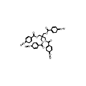 [N-]=[N+]=C1C=CC(C(=O)OCC(COC(=O)C2=CCC(=[N+]=[N-])C=C2)(COC(=O)C2=CCC(=[N+]=[N-])C=C2)COC(=O)C2=CCC(=[N+]=[N-])C=C2)=CC1